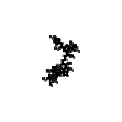 C/C(=C/C[C@H](O[Si](C)(C)C(C)(C)C)/C(C)=C/c1csc(C)n1)CCC[C@H](C)[C@H](O)[C@@H](C)C(=O)C1([C@H](CCO[Si](C)(C)C(C)(C)C)O[Si](C)(C)C(C)(C)C)CCC1